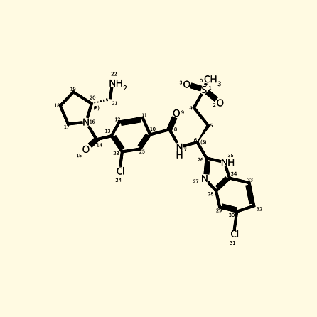 CS(=O)(=O)CC[C@H](NC(=O)c1ccc(C(=O)N2CCC[C@@H]2CN)c(Cl)c1)c1nc2cc(Cl)ccc2[nH]1